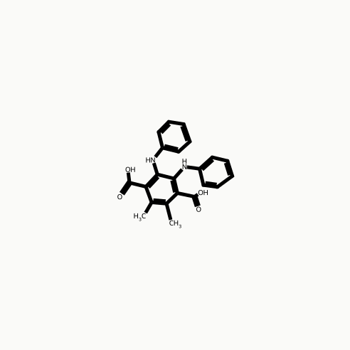 Cc1c(C)c(C(=O)O)c(Nc2ccccc2)c(Nc2ccccc2)c1C(=O)O